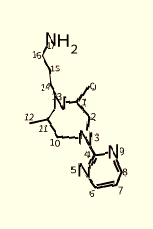 CC1CN(c2ncccn2)CC(C)N1CCCN